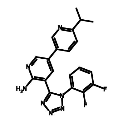 CC(C)c1ccc(-c2cnc(N)c(-c3nnnn3-c3cccc(F)c3F)c2)cn1